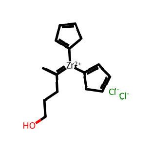 C[C](CCCO)=[Zr+2]([C]1=CC=CC1)[C]1=CC=CC1.[Cl-].[Cl-]